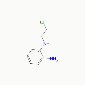 Nc1ccccc1NCCCl